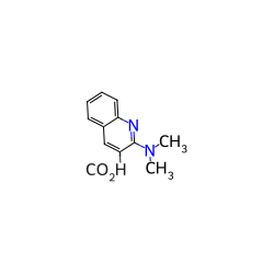 CN(C)c1nc2ccccc2cc1C(=O)O